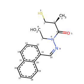 C[C@H](CS)C(=O)N(CC(=O)O)/N=C\c1cccc2ccccc12